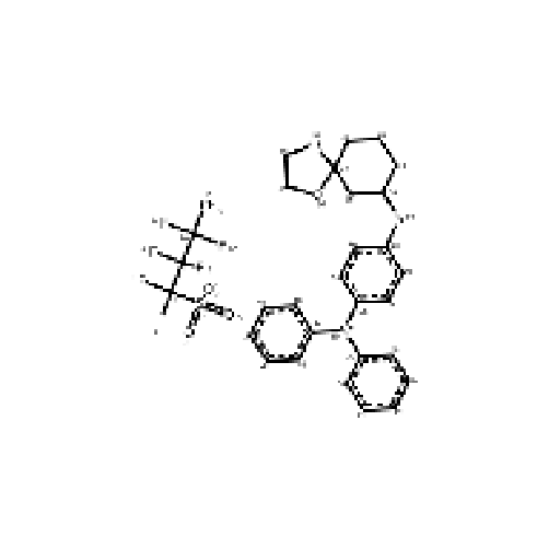 O=S(=O)([O-])C(F)(F)C(F)(F)C(F)(F)C(F)(F)F.c1ccc([S+](c2ccccc2)c2ccc(SC3CCCC4(C3)OCCO4)cc2)cc1